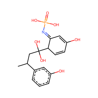 CC(CC(O)(O)C1C=CC(O)=CC1=NP(=O)(O)O)c1cccc(O)c1